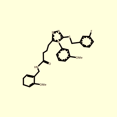 COC1=CCCC=C1CNC(=O)CCCc1nnc(SCc2cccc(F)c2)n1-c1cccc(OC)c1